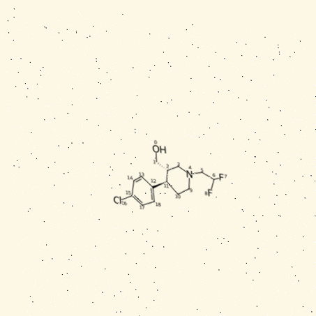 OC[C@@H]1CN(CC(F)F)CC[C@H]1c1ccc(Cl)cc1